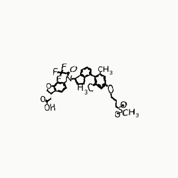 Cc1cc(OCCCS(C)(=O)=O)cc(C)c1-c1cccc2c1CCC2N(C(=O)C(F)(F)F)c1ccc2c(c1)OC[C@H]2CC(=O)O